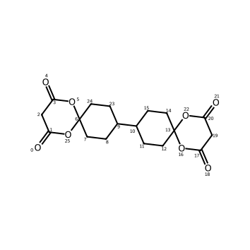 O=C1CC(=O)OC2(CCC(C3CCC4(CC3)OC(=O)CC(=O)O4)CC2)O1